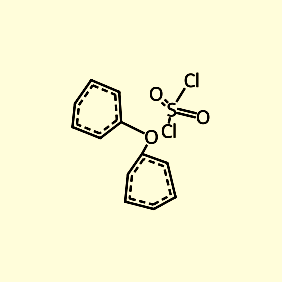 O=S(=O)(Cl)Cl.c1ccc(Oc2ccccc2)cc1